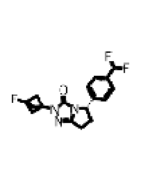 O=c1n(C23CC(F)(C2)C3)nc2n1[C@H](c1ccc(C(F)F)cc1)CC2